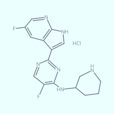 Cl.Fc1cnc2[nH]cc(-c3ncc(F)c(NC4CCCNC4)n3)c2c1